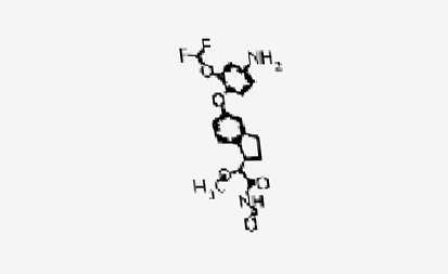 COC(C(=O)NC=O)[C@@H]1CCc2cc(Oc3ccc(N)cc3OC(F)F)ccc21